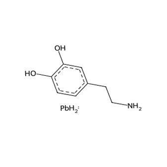 NCCc1ccc(O)c(O)c1.[PbH2]